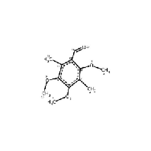 COc1c(C)c(OC)c(OC)c(C)c1C=O